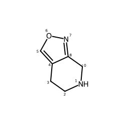 [CH]1NCCc2conc21